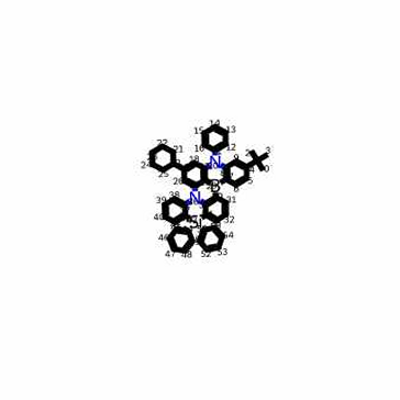 CC(C)(C)c1ccc2c(c1)N(c1ccccc1)c1cc(C3CCCCC3)cc3c1B2c1cccc2c1N3c1ccccc1[Si]2(c1ccccc1)c1ccccc1